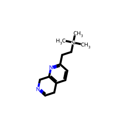 C[Si](C)(C)CCc1ccc2c(n1)CN=CC2